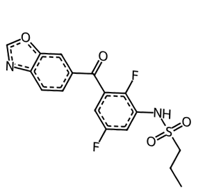 CCCS(=O)(=O)Nc1cc(F)cc(C(=O)c2ccc3ncoc3c2)c1F